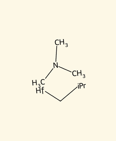 CC(C)[CH2][Hf].CN(C)C